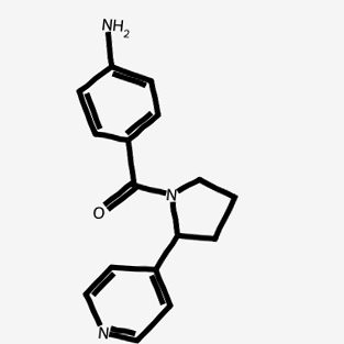 Nc1ccc(C(=O)N2CCCC2c2ccncc2)cc1